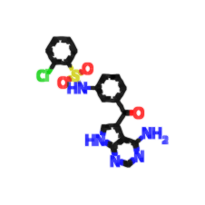 Nc1ncnc2[nH]cc(C(=O)c3cccc(NS(=O)(=O)c4ccccc4Cl)c3)c12